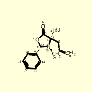 C=CC[C@]1(C(C)CC)C(=O)O[C@@H](c2ccccc2)N1C